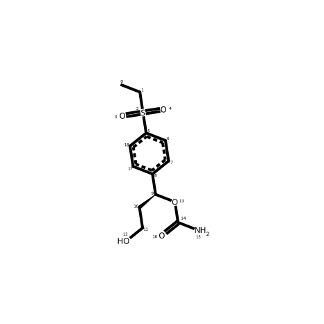 CCS(=O)(=O)c1ccc([C@H](CCO)OC(N)=O)cc1